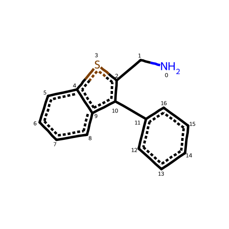 NCc1sc2ccccc2c1-c1ccccc1